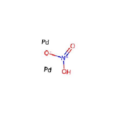 O=[N+]([O-])O.[Pd].[Pd]